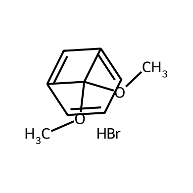 Br.COC1(OC)c2cccc1c2